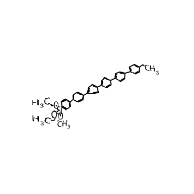 CCO[Si](OCC)(OCC)c1ccc(-c2ccc(-c3ccc(-c4ccc(-c5ccc(-c6ccc(CC)cc6)cc5)cc4)cc3)cc2)cc1